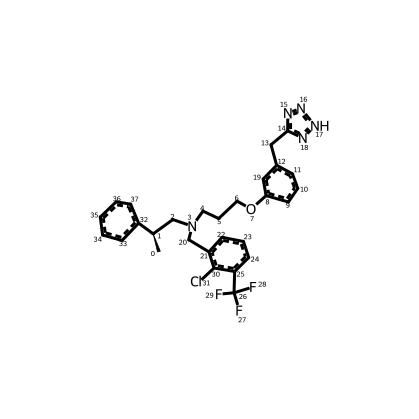 C[C@H](CN(CCCOc1cccc(Cc2nn[nH]n2)c1)Cc1cccc(C(F)(F)F)c1Cl)c1ccccc1